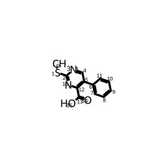 CSc1ncc(-c2ccccc2)c(C(=O)O)n1